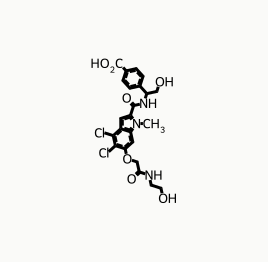 Cn1c(C(=O)NC(CO)c2ccc(C(=O)O)cc2)cc2c(Cl)c(Cl)c(OCC(=O)NCCO)cc21